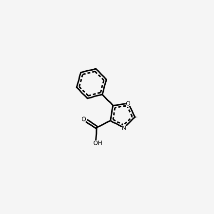 O=C(O)c1n[c]oc1-c1ccccc1